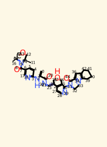 C=C(Nc1ccc(C(=O)N2[C@H](C)COC[C@@H]2C)cn1)C(=O)N(C)/C=C(\C)c1ccnc(N2CCn3c(cc4c3CCCC4)C2=O)c1CO